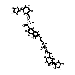 O=C(CCCc1cc2cc(C(=O)NN=Cc3cccc(N4CCCC4)c3)ccc2[nH]1)NN=Cc1cccc(N2CCCC2)c1